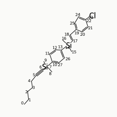 CCCCCC#C[Si](C)(C)c1ccc([Si](C)(C)/C=C/c2ccc(Cl)cc2)cc1